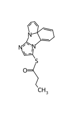 CCCC(=O)Sc1cnc2n1C1=CCC=CC13C=CC=CN23